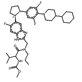 CCCN(Cc1nc2cc([C@H]3CCCN3c3cc(F)c(N4CCC(C5CCCCC5)CC4)c(F)c3)c(F)cc2[nH]1)C(=O)C(NC(=O)OC)C(C)C